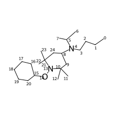 CCCCN(C(C)C)C1CC(C)(C)N(OC2CCCCC2)C(C)(C)C1